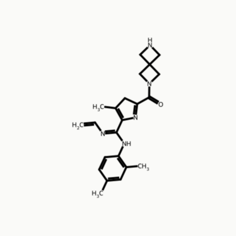 C=C/N=C(/Nc1ccc(C)cc1C)C1=C(C)CC(C(=O)N2CC3(CNC3)C2)=N1